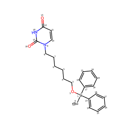 CC(C)(C)[Si](OCCCCCCn1ccc(=O)[nH]c1=O)(c1ccccc1)c1ccccc1